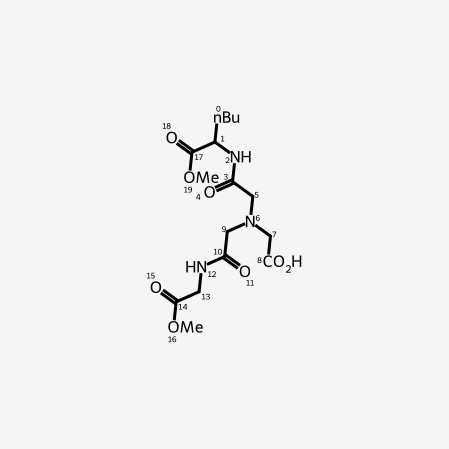 CCCCC(NC(=O)CN(CC(=O)O)CC(=O)NCC(=O)OC)C(=O)OC